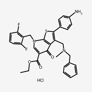 CCOC(=O)c1cn(Cc2c(F)cccc2F)c2sc(-c3ccc(N)cc3)c(CN(C)Cc3ccccc3)c2c1=O.Cl